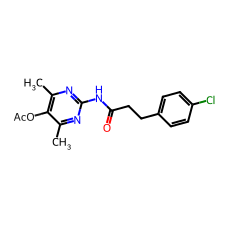 CC(=O)Oc1c(C)nc(NC(=O)CCc2ccc(Cl)cc2)nc1C